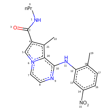 CCCNC(=O)c1cn2ccnc(Nc3cc([N+](=O)[O-])ccc3C)c2c1C